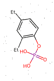 CCc1ccc(OP(=O)(O)O)c(CC)c1